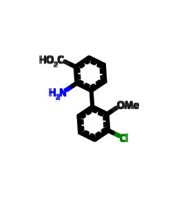 COc1c(Cl)cccc1-c1cccc(C(=O)O)c1N